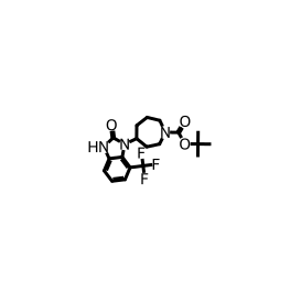 CC(C)(C)OC(=O)N1CCCC(n2c(=O)[nH]c3cccc(C(F)(F)F)c32)CC1